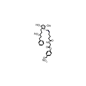 O=C(CCC/C=C\C[C@@H]1[C@@H](CC[C@@H](O)CCc2ccccc2)[C@H](O)C[C@@H]1O)NCC(=O)Oc1ccc(CO[N+](=O)[O-])cc1